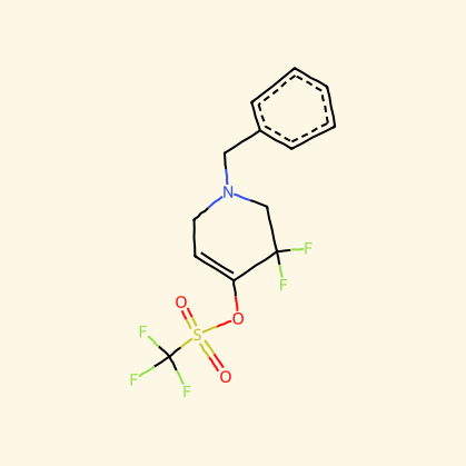 O=S(=O)(OC1=CCN(Cc2ccccc2)CC1(F)F)C(F)(F)F